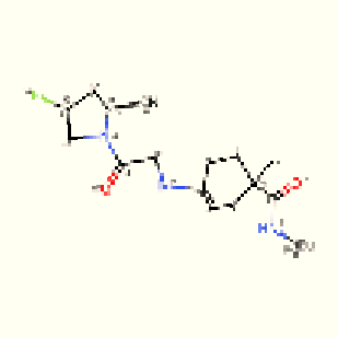 CC[C@H](C)NC(=O)C1(C)CC=C(NCC(=O)N2C[C@@H](F)C[C@H]2C#N)CC1